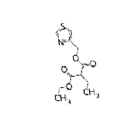 CCOC(=O)C(CC)C(=O)OCc1cscn1